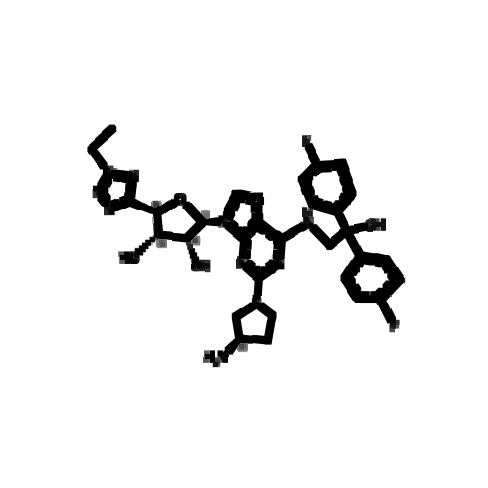 CCn1nnc([C@H]2O[C@@H](n3cnc4c(NCC(O)(c5ccc(F)cc5)c5ccc(F)cc5)nc(N5CC[C@@H](N)C5)nc43)[C@H](O)[C@@H]2O)n1